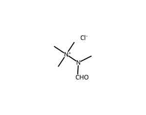 CN(C=O)[N+](C)(C)C.[Cl-]